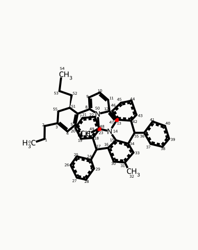 CCCC1=CC(C)=C(C2=CC=CC3=CN(c4c(C(c5ccccc5)c5ccccc5)cc(C)cc4C(c4ccccc4)c4ccccc4)C(C)N32)[C@H](CCC)C1